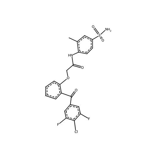 Cc1cc(S(N)(=O)=O)ccc1NC(=O)COc1ccccc1C(=O)c1cc(F)c(Cl)c(F)c1